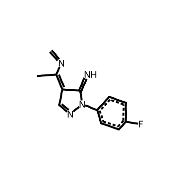 C=N/C(C)=C1/C=NN(c2ccc(F)cc2)C1=N